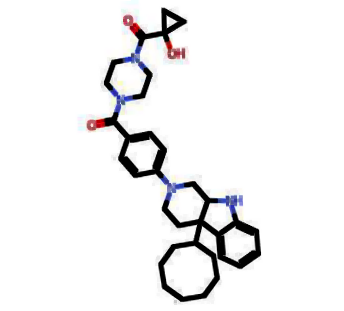 O=C(c1ccc(N2CCC3(C4CCCCCCC4)c4ccccc4NC3C2)cc1)N1CCN(C(=O)C2(O)CC2)CC1